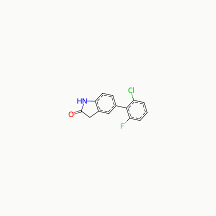 O=C1Cc2cc(-c3c(F)cccc3Cl)ccc2N1